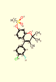 CC1(C)Oc2cc(OS(C)(=O)=O)ccc2C(c2ccc(Cl)c(F)c2)=C1C#N